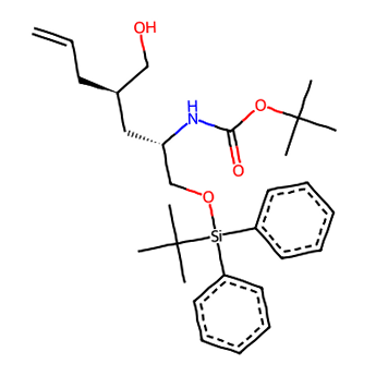 C=CC[C@@H](CO)C[C@@H](CO[Si](c1ccccc1)(c1ccccc1)C(C)(C)C)NC(=O)OC(C)(C)C